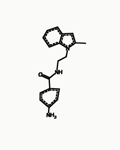 Cc1cc2ccccc2n1CCNC(=O)c1ccc(N)cc1